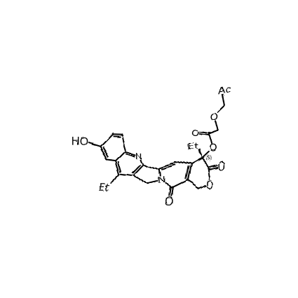 CCc1c2c(nc3ccc(O)cc13)-c1cc3c(c(=O)n1C2)COC(=O)[C@@]3(CC)OC(=O)COCC(C)=O